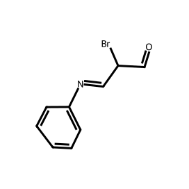 O=CC(Br)C=Nc1ccccc1